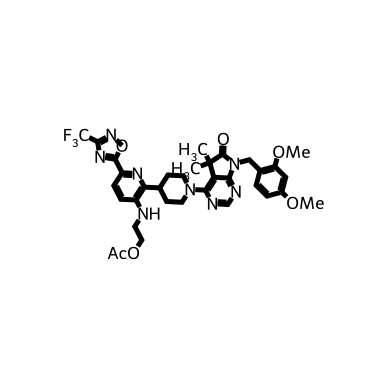 COc1ccc(CN2C(=O)C(C)(C)c3c(N4CCC(c5nc(-c6nc(C(F)(F)F)no6)ccc5NCCOC(C)=O)CC4)ncnc32)c(OC)c1